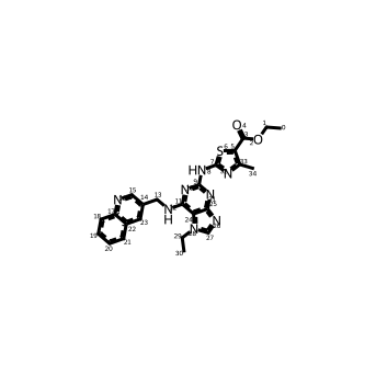 CCOC(=O)c1sc(Nc2nc(NCc3cnc4ccccc4c3)c3c(ncn3CC)n2)nc1C